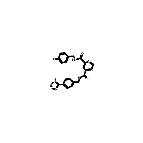 O=C(NCc1ccc(F)cc1)c1cc(C(=O)NCc2ccc(-c3nnn[nH]3)cc2)ncn1